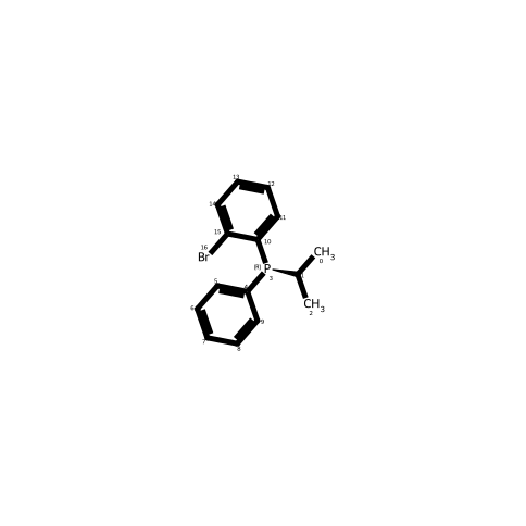 CC(C)[P@@](c1ccccc1)c1ccccc1Br